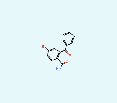 NC(=O)c1ccc(Br)cc1C(=O)c1ccccc1